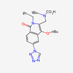 CCCCOc1c(CN(C(=O)O)C(C)(C)C)n(CC(C)C)c(=O)c2ccc(-n3cnnn3)cc12